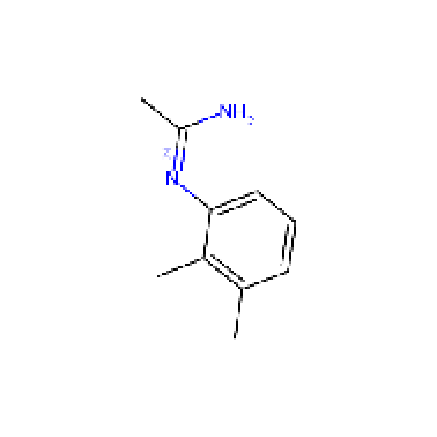 C/C(N)=N/c1cccc(C)c1C